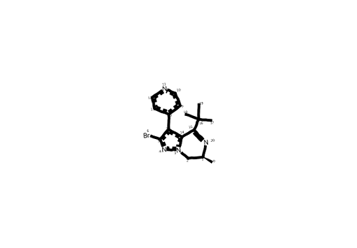 C[C@H]1Cn2nc(Br)c(-c3ccncc3)c2C(C(C)(C)C)=N1